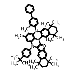 Cc1cc2c3c(c1)N(c1ccc(C(C)(C)C)cc1)c1c(oc4cc5c(cc14)C(C)(C)CCC5(C)C)B3c1cc3c(cc1N2c1ccc(-c2ccccc2)cc1C)C(C)(C)CCC3(C)C